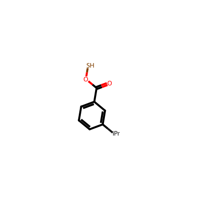 CC(C)c1cccc(C(=O)OS)c1